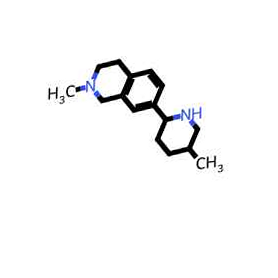 CC1CCC(c2ccc3c(c2)CN(C)CC3)NC1